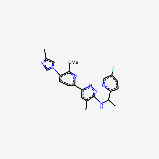 COc1nc(-c2cc(C)c(NC(C)c3ccc(F)cn3)nn2)ccc1-n1cnc(C)c1